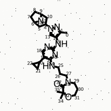 Cc1nn(C2CC3CCC(C2)N3C)cc1Nc1ncc(C2CC2)c(NCCCN2CCCOC(C)(C)C2=O)n1